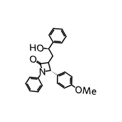 COc1ccc([C@H]2C(C[C@@H](O)c3ccccc3)C(=O)N2c2ccccc2)cc1